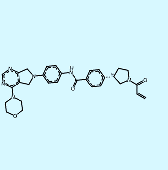 C=CC(=O)N1CC[C@@H](c2ccc(C(=O)Nc3ccc(N4Cc5ncnc(N6CCOCC6)c5C4)cc3)cc2)C1